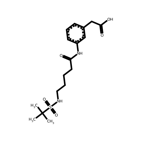 CC(C)(C)S(=O)(=O)NCCCCC(=O)Nc1cccc(CC(=O)O)c1